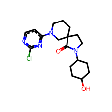 O=C1N(C2CCC(O)CC2)CCC12CCCN(c1ccnc(Cl)n1)C2